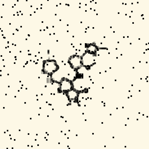 COc1c(Nc2cc(Nc3ccc(C)cn3)nc3[nH]n(C)c(=O)c23)cccc1-c1ncn(C)n1